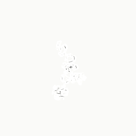 CC1(C)CN(S(=O)(=O)c2cccc(-c3ccc(F)cc3)c2)Cc2ccc(C(=O)NO)cc21